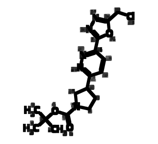 CC(C)(C)OC(=O)N1CCC(c2ccc(-c3nnc(CCl)o3)nn2)C1